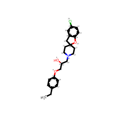 CCc1ccc(OC[C@@H](O)CN2CCC3(CC2)Cc2cc(Cl)ccc2O3)cc1